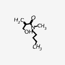 C=C(CO)C(=O)N(C)CCCCC